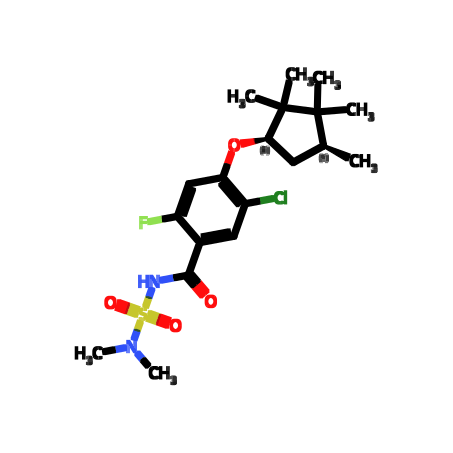 C[C@H]1C[C@@H](Oc2cc(F)c(C(=O)NS(=O)(=O)N(C)C)cc2Cl)C(C)(C)C1(C)C